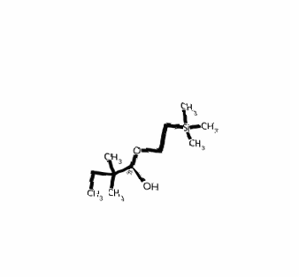 CCC(C)(C)[C@H](O)OCC[Si](C)(C)C